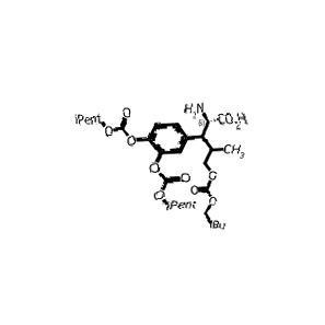 CCCC(C)OC(=O)Oc1ccc(C(C(C)COC(=O)OCC(C)CC)[C@H](N)C(=O)O)cc1OC(=O)OC(C)CCC